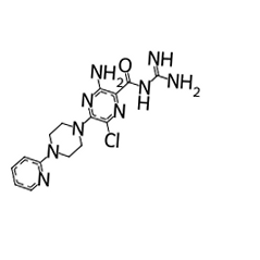 N=C(N)NC(=O)c1nc(Cl)c(N2CCN(c3ccccn3)CC2)nc1N